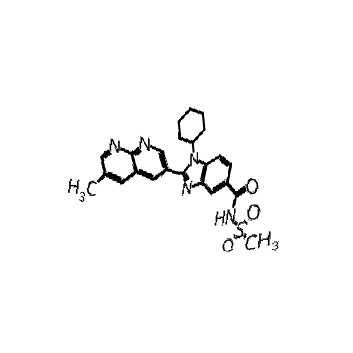 Cc1cnc2ncc(-c3nc4cc(C(=O)NS(C)(=O)=O)ccc4n3C3CCCCC3)cc2c1